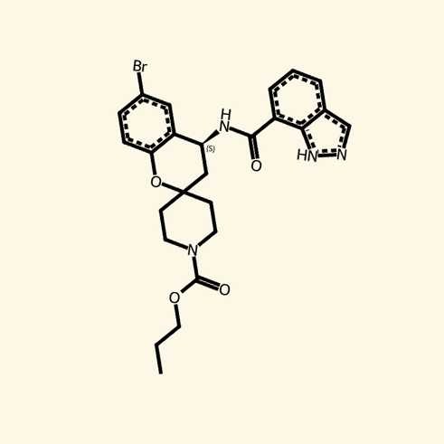 CCCOC(=O)N1CCC2(CC1)C[C@H](NC(=O)c1cccc3cn[nH]c13)c1cc(Br)ccc1O2